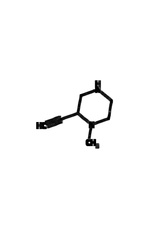 C#CC1CNCCN1C